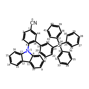 N#Cc1ccc(-n2c3ccccc3c3ccccc32)c(-c2cccc([Si](c3ccccc3)(c3ccccc3)c3ccccc3)c2)c1